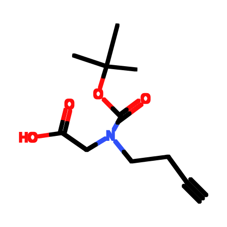 C#CCCN(CC(=O)O)C(=O)OC(C)(C)C